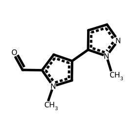 Cn1cc(-c2ccnn2C)cc1C=O